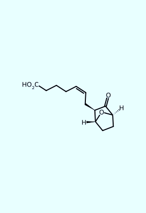 O=C(O)CCC/C=C\C[C@H]1C(=O)[C@H]2CC[C@H]1O2